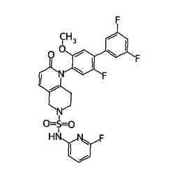 COc1cc(-c2cc(F)cc(F)c2)c(F)cc1-n1c2c(ccc1=O)CN(S(=O)(=O)Nc1cccc(F)n1)CC2